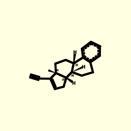 C#CC1=CC[C@H]2[C@@H]3CCc4c[c]ccc4[C@H]3CC[C@]12C